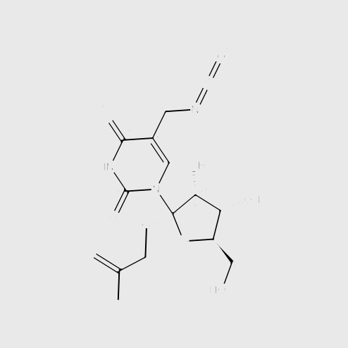 C=C(C)CC[C@@]1(n2cc(CN=C=O)c(=O)[nH]c2=O)O[C@H](CO)[C@@H](O)[C@H]1O